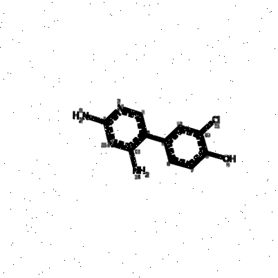 Nc1ncc(-c2ccc(O)c(Cl)c2)c(N)n1